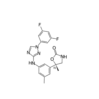 Cc1cc(Nc2ncn(-c3cc(F)cc(F)c3)n2)cc([C@@]2(C)CNC(=O)O2)c1